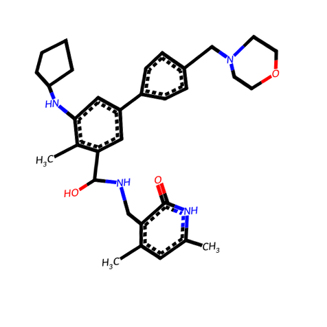 Cc1cc(C)c(CNC(O)c2cc(-c3ccc(CN4CCOCC4)cc3)cc(NC3CCCC3)c2C)c(=O)[nH]1